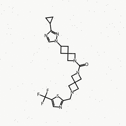 O=C(N1CC2(CC(n3cnc(C4CC4)n3)C2)C1)N1CC2(CN(Cc3ncc(C(F)(F)F)s3)C2)C1